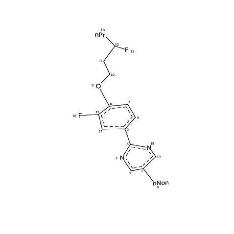 CCCCCCCCCc1cnc(-c2ccc(OCCC(F)CCC)c(F)c2)nc1